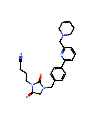 N#CCCCN1C(=O)CN(Cc2ccc(-c3cccc(CN4CCCCC4)n3)cc2)C1=O